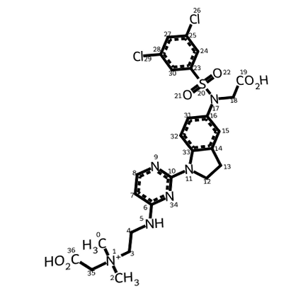 C[N+](C)(CCNc1ccnc(N2CCc3cc(N(CC(=O)O)S(=O)(=O)c4cc(Cl)cc(Cl)c4)ccc32)n1)CC(=O)O